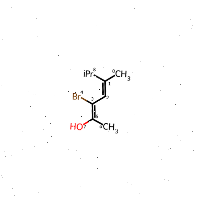 C/C(=C/C(Br)=C(\C)O)C(C)C